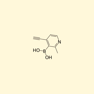 C#Cc1ccnc(C)c1B(O)O